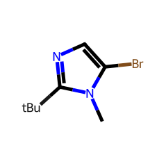 Cn1c(Br)cnc1C(C)(C)C